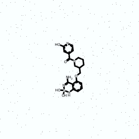 NC1=NS(O)(O)Nc2cccc(OCC3CCCN(C(=O)c4ccnc(O)c4)C3)c21